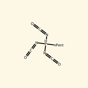 CCCCC[PH](N=C=O)(N=C=O)N=C=O